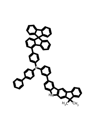 CC1(C)c2ccccc2-c2cc3c(cc21)[nH]c1ccc(-c2cccc(N(c4ccc(-c5ccccc5)cc4)c4ccc(-c5cccc6c5-c5ccccc5C65c6ccccc6-c6ccccc65)cc4)c2)cc13